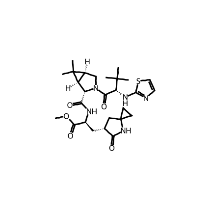 COC(=O)[C@H](C[C@@H]1CC2(CC2)NC1=O)NC(=O)[C@@H]1[C@@H]2[C@H](CN1C(=O)[C@@H](Nc1nccs1)C(C)(C)C)C2(C)C